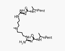 CCCCCC(C)NC(=O)N=C(N)NCCCN(C)CCCNC(N)=NC(=O)NC(C)CCCCC